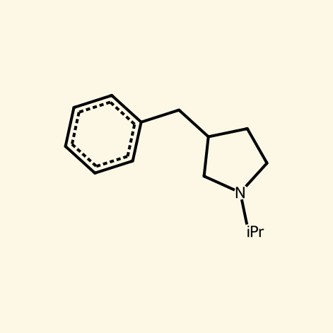 CC(C)N1CCC(Cc2ccccc2)C1